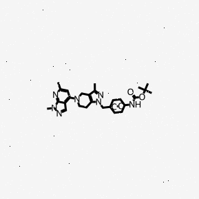 Cc1cc(N2CCc3c(c(C)nn3CC34CCC(NC(=O)OC(C)(C)C)(CC3)CC4)C2)c2cnn(C)c2n1